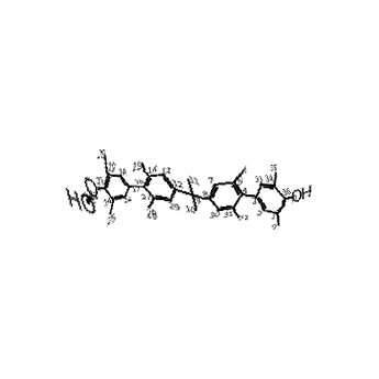 Cc1cc(-c2c(C)cc(C(C)(C)c3cc(C)c(-c4cc(C)c(OO)c(C)c4)c(C)c3)cc2C)cc(C)c1O